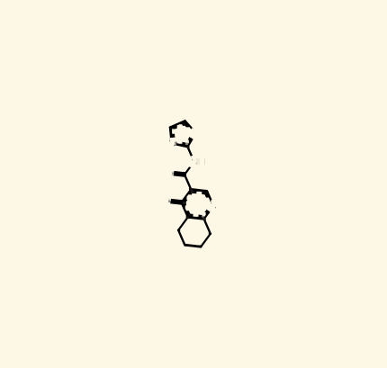 O=C(Nc1nccs1)c1c[nH]c2c(c1=O)CCCC2